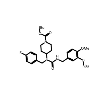 CCCCOc1cc(CNC(=O)N(Cc2ccc(F)cc2)C2CCN(C(=O)OC(C)(C)C)CC2)ccc1OC